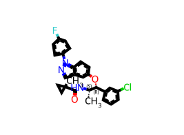 C[C@H](NC(=O)C1(C)CC1)[C@H](Oc1ccc2c(cnn2-c2ccc(F)cc2)c1)c1cccc(Cl)c1